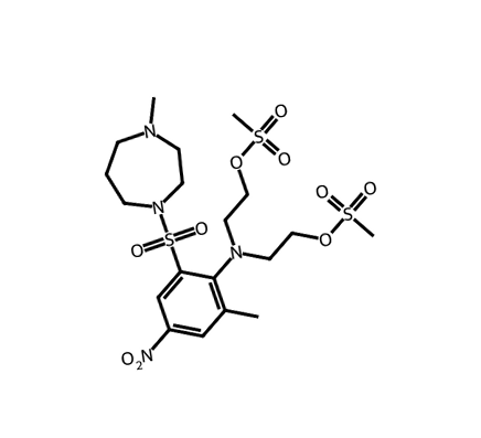 Cc1cc([N+](=O)[O-])cc(S(=O)(=O)N2CCCN(C)CC2)c1N(CCOS(C)(=O)=O)CCOS(C)(=O)=O